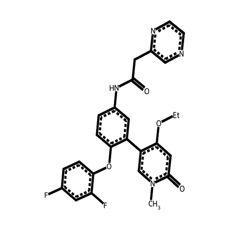 CCOc1cc(=O)n(C)cc1-c1cc(NC(=O)Cc2cnccn2)ccc1Oc1ccc(F)cc1F